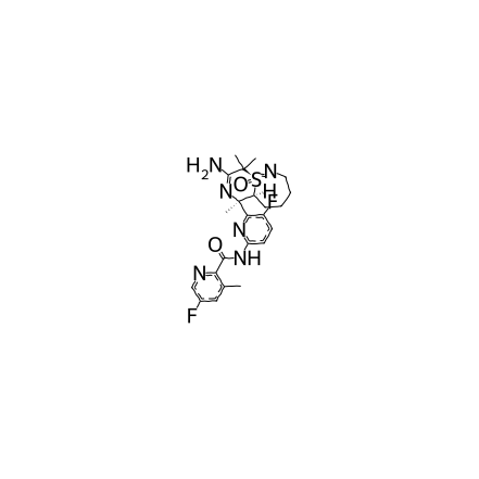 Cc1cc(F)cnc1C(=O)Nc1ccc(F)c([C@@]2(C)N=C(N)C(C)(C)[S@@]3(=O)=NCCCC[C@@H]23)n1